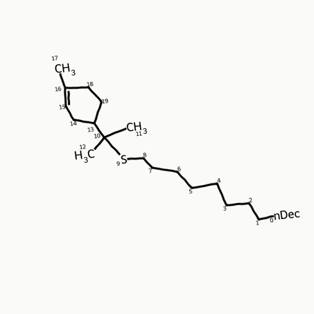 CCCCCCCCCCCCCCCCCCSC(C)(C)C1CC=C(C)CC1